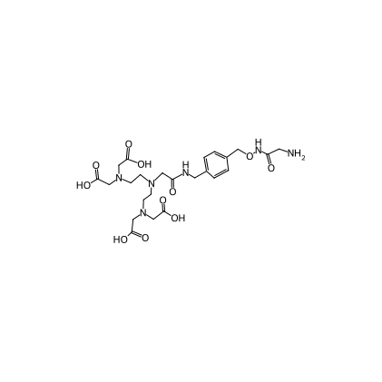 NCC(=O)NOCc1ccc(CNC(=O)CN(CCN(CC(=O)O)CC(=O)O)CCN(CC(=O)O)CC(=O)O)cc1